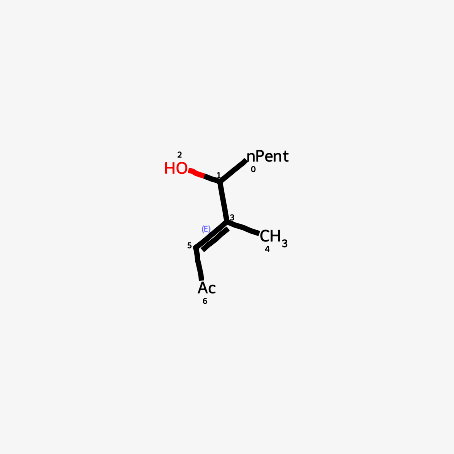 CCCCCC(O)/C(C)=C/C(C)=O